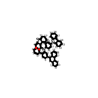 c1ccc(-c2ccc(-c3cc4ccccc4c4ccccc34)cc2N(c2ccc(-n3c4ccccc4c4ccccc43)cc2)c2cccc3sc4ccccc4c23)cc1